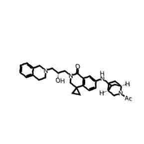 CC(=O)N1C[C@H]2CC[C@@H]1CC2Nc1ccc2c(c1)C(=O)N(C[C@H](O)CN1CCc3ccccc3C1)CC21CC1